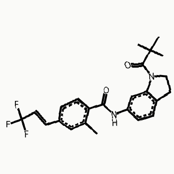 Cc1cc(/C=C/C(F)(F)F)ccc1C(=O)Nc1ccc2c(c1)N(C(=O)C(C)(C)C)CC2